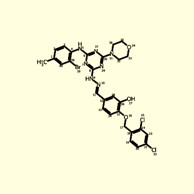 Cc1ccc(Nc2nc(N/N=C/c3ccc(OCc4ccc(Cl)cc4Cl)c(O)c3)nc(N3CCOCC3)n2)c(Br)c1